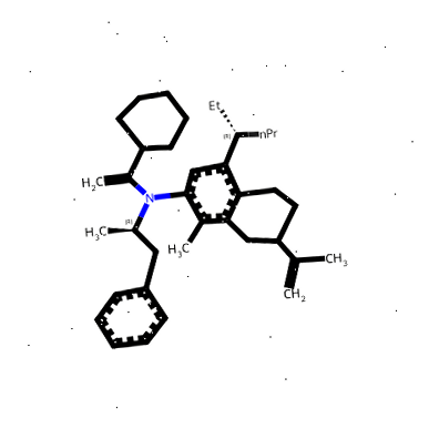 C=C(C)C1CCc2c([C@H](CC)CCC)cc(N(C(=C)C3CCCCC3)[C@H](C)Cc3ccccc3)c(C)c2C1